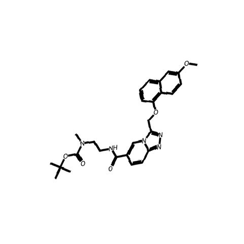 COc1ccc2c(OCc3nnc4ccc(C(=O)NCCN(C)C(=O)OC(C)(C)C)cn34)cccc2c1